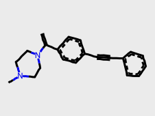 C=C(c1ccc(C#Cc2ccccc2)cc1)N1CCN(C)CC1